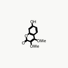 COc1c(OC)c2ccc(O)cc2oc1=O